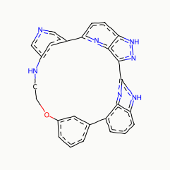 c1cc2cc(c1)-c1cccc3[nH]c(nc13)-c1n[nH]c3ccc(nc13)-c1cncc(c1)NCCO2